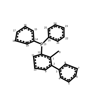 Cc1c(-c2ccccc2)cccc1P(c1ccccc1)c1ccccc1